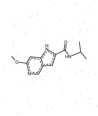 COc1cc2[nH]c(C(=O)NC(C)C)cc2cn1